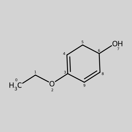 CCOC1=CCC(O)C=C1